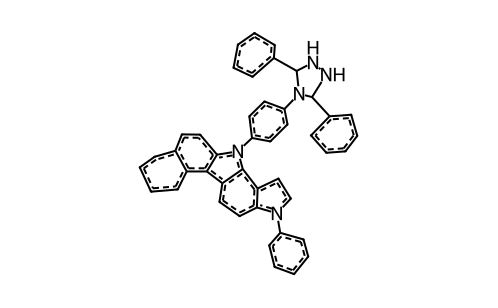 c1ccc(C2NNC(c3ccccc3)N2c2ccc(-n3c4ccc5ccccc5c4c4ccc5c(ccn5-c5ccccc5)c43)cc2)cc1